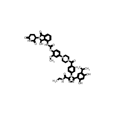 CCNC(=O)c1nnc(-c2cc(C(C)C)c(O)cc2O)n1-c1ccc(C(=O)N2CCN(c3ccc(OC(=O)Nc4cccc5c4C(O)N(C4CCC(=O)NC4=O)C5=O)c(OC)c3)CC2)cc1